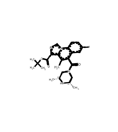 Cc1c(C(=O)N2C[C@@H](C)N[C@@H](C)C2)c2cc(F)ccc2n2cnc(C(=O)OC(C)(C)C)c12